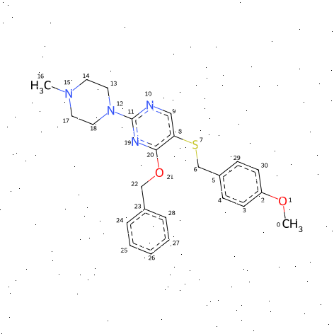 COc1ccc(CSc2cnc(N3CCN(C)CC3)nc2OCc2ccccc2)cc1